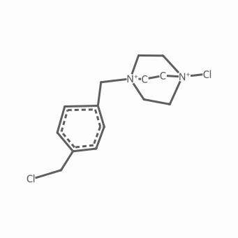 ClCc1ccc(C[N+]23CC[N+](Cl)(CC2)CC3)cc1